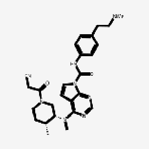 CNCCc1ccc(NC(=O)n2ccc3c(N(C)[C@H]4CN(C(=O)CC#N)CC[C@H]4C)ncnc32)cc1